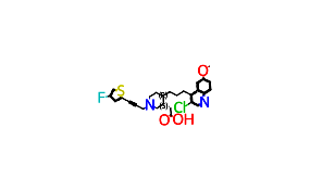 COc1ccc2ncc(Cl)c(CCC[C@@H]3CCN(CC#Cc4cc(F)cs4)C[C@H]3CC(=O)O)c2c1